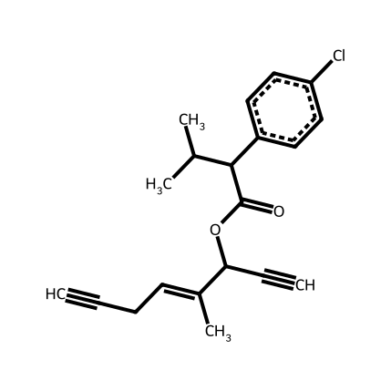 C#CCC=C(C)C(C#C)OC(=O)C(c1ccc(Cl)cc1)C(C)C